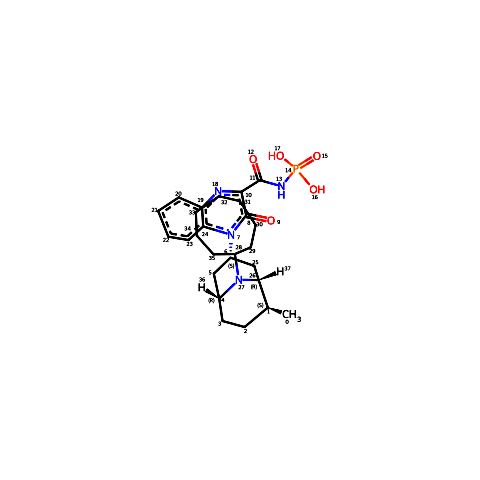 C[C@H]1CC[C@@H]2C[C@H](n3c(=O)c(C(=O)NP(=O)(O)O)nc4ccccc43)C[C@H]1N2C1CCCCCCC1